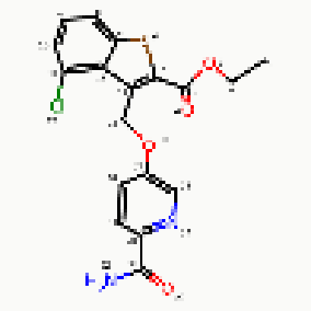 CCOC(=O)c1sc2cccc(Cl)c2c1COc1ccc(C(N)=O)nc1